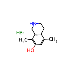 Br.Cc1cc(O)c(C)c2c1CCNC2